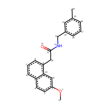 COc1ccc2cccc(CC(=O)NCc3cccc(C)c3)c2c1